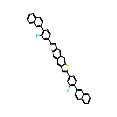 Fc1cc(-c2cc3cc4cc5sc(-c6ccc(-c7ccc8ccccc8c7)c(F)c6)cc5cc4cc3s2)ccc1-c1ccc2ccccc2c1